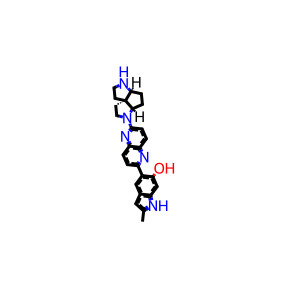 Cc1cc2cc(-c3ccc4nc(N5CC[C@]67CCN[C@H]6CC[C@H]57)ccc4n3)c(O)cc2[nH]1